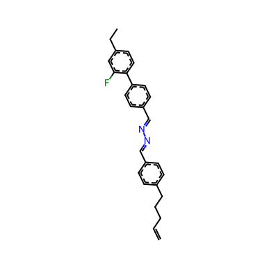 C=CCCCc1ccc(C=NN=Cc2ccc(-c3ccc(CC)cc3F)cc2)cc1